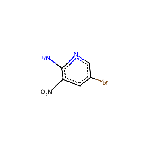 [NH]c1ncc(Br)cc1[N+](=O)[O-]